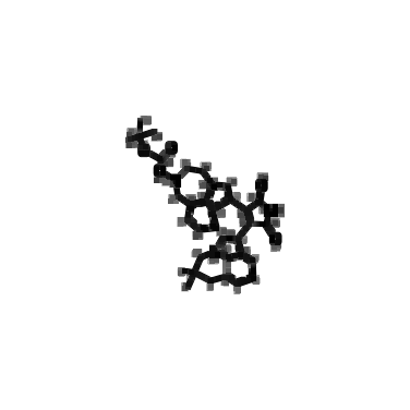 CC1(C)Cc2cccc3c(C4=C(c5cn6c7c(cccc57)CN(OC(=O)OC(C)(C)C)CC6)C(=O)NC4=O)cn(c23)C1